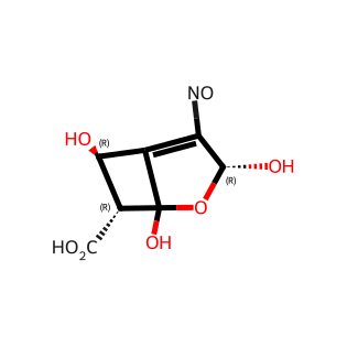 O=NC1=C2[C@H](O)[C@@H](C(=O)O)C2(O)O[C@H]1O